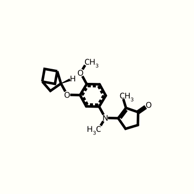 COc1ccc(N(C)C2=C(C)C(=O)CC2)cc1O[C@@H]1CC2CC1C2